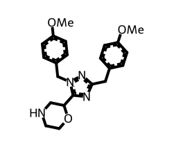 COc1ccc(Cc2nc(C3CNCCO3)n(Cc3ccc(OC)cc3)n2)cc1